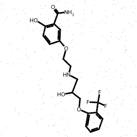 NC(=O)c1cc(OCCNCC(O)COc2ccccc2C(F)(F)F)ccc1O